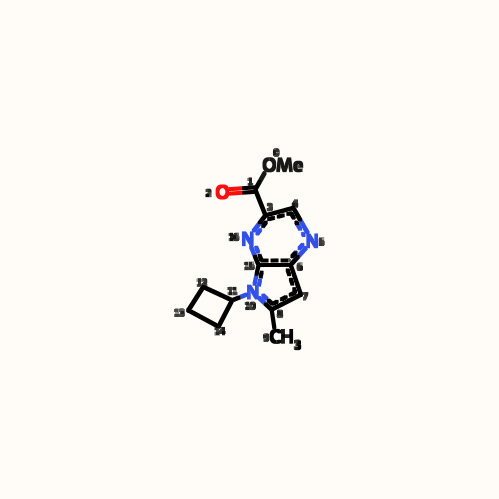 COC(=O)c1cnc2cc(C)n(C3CCC3)c2n1